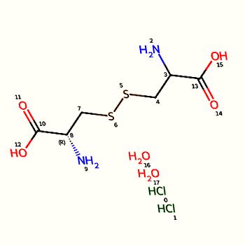 Cl.Cl.NC(CSSC[C@H](N)C(=O)O)C(=O)O.O.O